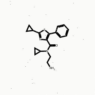 NCCN(C(=O)c1nc(C2CC2)sc1-c1ccccc1)C1CC1